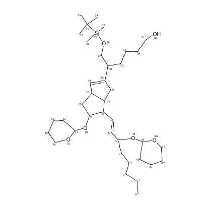 CCCCCC(C=CC1C(OC2CCCCO2)CC2C=C(C(CCCCO)CO[Si](C)(C)C(C)(C)C)CC21)OC1CCCCO1